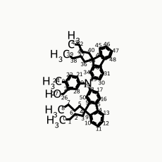 CCCCC1(CCCC)c2ccccc2-c2ccc(N(c3ccc(C)c(CO)c3)c3ccc4c(c3)C(CCCC)(CCCC)c3ccccc3-4)cc21